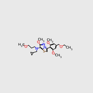 CCOCc1cc(OC)c(-c2csc3c(N(CCCOC)CC4CC4)c(OC)nn23)c(OC)c1